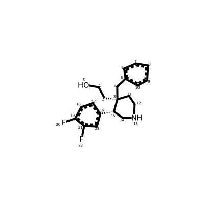 OCC[C@]1(Cc2ccccc2)CCNC[C@@H]1c1ccc(F)c(F)c1